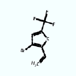 C=Cc1sc(C(F)(F)F)cc1Br